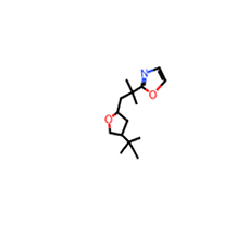 CC(C)(CC1CC(C(C)(C)C)CO1)c1ncco1